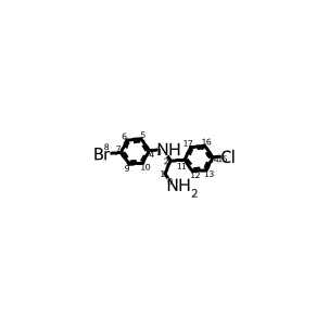 NCC(Nc1ccc(Br)cc1)c1ccc(Cl)cc1